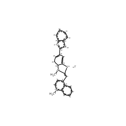 CN1C(=Cc2cc[n+](C)c3ccccc23)SC2=CC(c3nc4ccccc4o3)=CCC21.[I-]